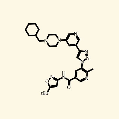 Cc1ncc(C(=O)Nc2cc(C(C)(C)C)on2)cc1-n1cc(-c2cncc(N3CCN(CC4CCCCC4)CC3)c2)nn1